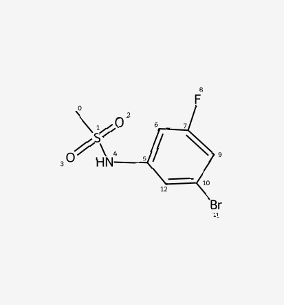 CS(=O)(=O)Nc1cc(F)cc(Br)c1